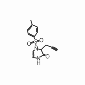 C#CCC1C(=O)NC=CN1S(=O)(=O)c1ccc(C)cc1